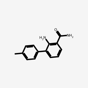 Cc1ccc(-c2cccc(C(N)=O)c2N)cc1